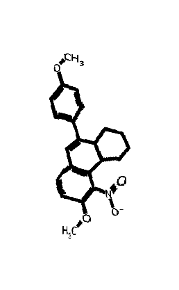 COc1ccc(C2=Cc3ccc(OC)c([N+](=O)[O-])c3C3CCCCC23)cc1